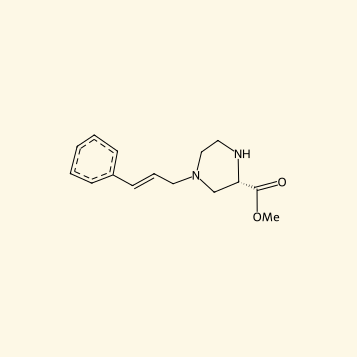 COC(=O)[C@@H]1CN(C/C=C/c2ccccc2)CCN1